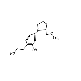 COCC1CCCN1c1ccc(CCO)c(O)c1